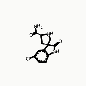 NC(=O)[C@@H]1C[C@@]2(CN1)C(=O)Nc1ccc(Cl)cc12